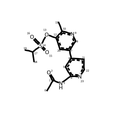 CC(=O)Nc1cc(-c2cnc(C)c(OS(=O)(=O)C(C)C)c2)ccn1